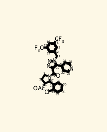 CC(=O)OC1CCN(C(=O)c2nnn(Cc3cc(C(F)(F)F)cc(C(F)(F)F)c3)c2-c2ccncc2)C1c1ccccc1Cl